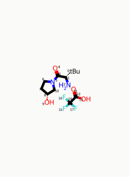 CC(C)(C)[C@H](N)C(=O)N1CC[C@@H](O)C1.O=C(O)C(F)(F)F